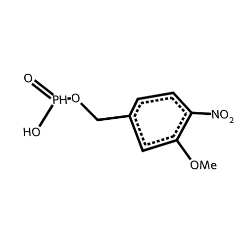 COc1cc(CO[PH](=O)O)ccc1[N+](=O)[O-]